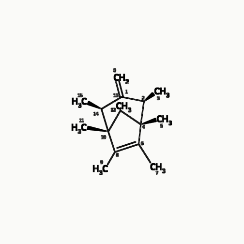 C=C1[C@@H](C)[C@]2(C)C(C)=C(C)[C@@](C)(C2C)[C@H]1C